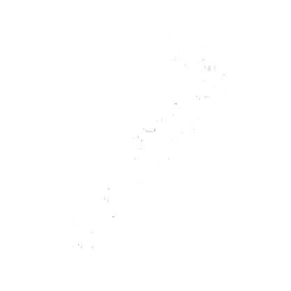 CC(C(=O)OC1CN(CCCOc2ccc3c(Oc4ccc(NC(=O)C5(C(=O)Nc6ccc(F)cc6)CC5)cc4F)ccnc3c2)C1)N(C)C